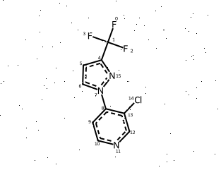 FC(F)(F)c1[c]cn(-c2ccncc2Cl)n1